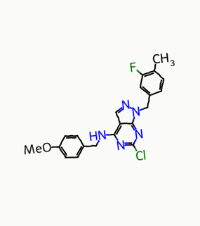 COc1ccc(CNc2nc(Cl)nc3c2cnn3Cc2ccc(C)c(F)c2)cc1